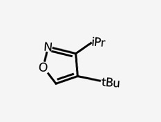 CC(C)c1nocc1C(C)(C)C